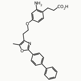 Cc1oc(-c2ccc(-c3ccccc3)cc2)nc1CCOc1ccc(CCC(=O)O)c(N)c1